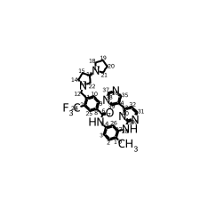 Cc1ccc(NC(=O)c2ccc(CN3CCC(N4CCCC4)C3)c(C(F)(F)F)c2)cc1Nc1nccc(-c2cncnc2)n1